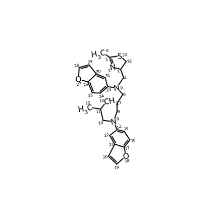 CC1=NC(CN(CCCN(CC(C)C)c2ccc3occc3c2)c2ccc3occc3c2)CS1